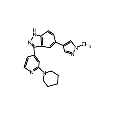 Cn1cc(-c2ccc3[nH]nc(-c4ccnc(N5CCCCC5)c4)c3c2)cn1